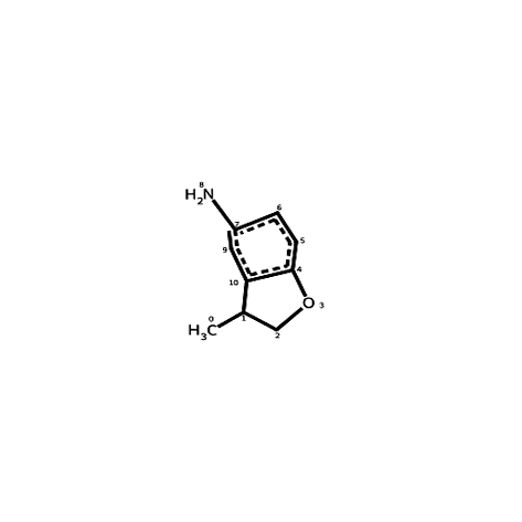 CC1COc2ccc(N)cc21